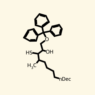 CCCCCCCCCCCCCCC(C)C(S)C(O)COC(c1ccccc1)(c1ccccc1)c1ccccc1